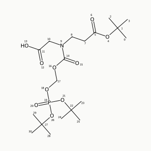 CC(C)(C)OC(=O)CCN(CC(=O)O)C(=O)OCOP(=O)(OC(C)(C)C)OC(C)(C)C